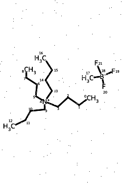 CCCC[N+](CCCC)(CCCC)CCCC.C[B-](F)(F)F